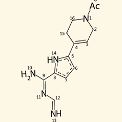 CC(=O)N1CC=C(c2ccc(/C(N)=N\C=N)[nH]2)CC1